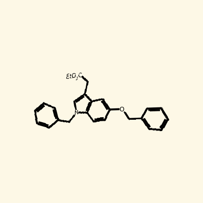 CCOC(=O)Cc1cn(Cc2ccccc2)c2ccc(OCc3ccccc3)cc12